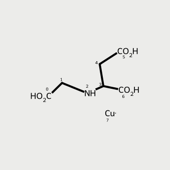 O=C(O)CNC(CC(=O)O)C(=O)O.[Cu]